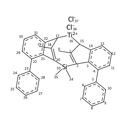 CC1=C2c3c(-c4ccccc4)cccc3[CH]1[Ti+2][CH]1C(C)=C(c3c(-c4ccccc4)cccc31)[Si]2(C)C.[Cl-].[Cl-]